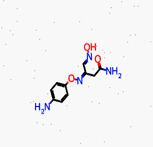 NC(=O)CC(C=NO)=NOc1ccc(N)cc1